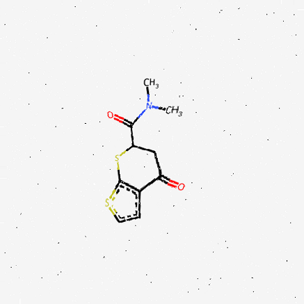 CN(C)C(=O)C1CC(=O)c2ccsc2S1